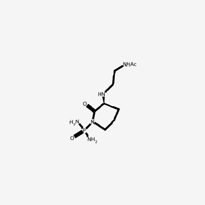 CC(=O)NCCN[C@H]1CCCN(P(N)(N)=O)C1=O